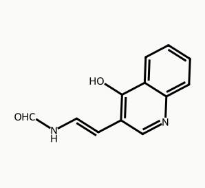 O=CNC=Cc1cnc2ccccc2c1O